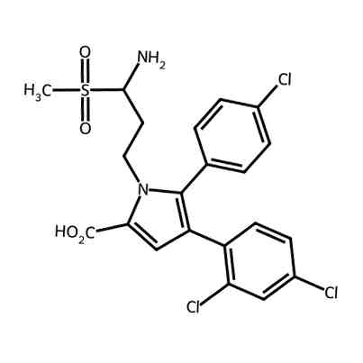 CS(=O)(=O)C(N)CCn1c(C(=O)O)cc(-c2ccc(Cl)cc2Cl)c1-c1ccc(Cl)cc1